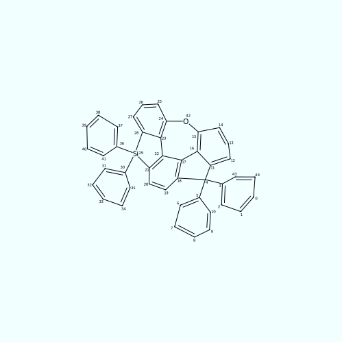 c1ccc(C2(c3ccccc3)c3cccc4c3-c3c2ccc2c3-c3c(cccc3[Si]2(c2ccccc2)c2ccccc2)O4)cc1